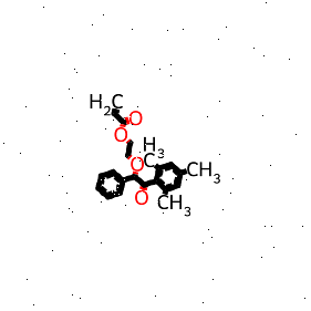 C=CC(=O)OCCOC(C(=O)c1c(C)cc(C)cc1C)c1ccccc1